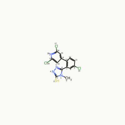 Cn1c(S)nnc1-c1cc(Cl)ccc1-c1cc(Cl)nc(Cl)c1